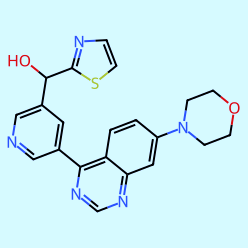 OC(c1cncc(-c2ncnc3cc(N4CCOCC4)ccc23)c1)c1nccs1